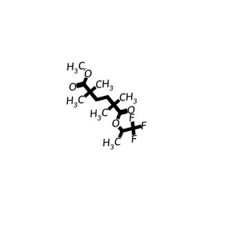 COC(=O)C(C)(C)CCC(C)(C)C(=O)OC(C)C(F)(F)F